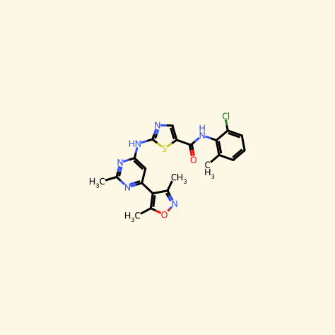 Cc1nc(Nc2ncc(C(=O)Nc3c(C)cccc3Cl)s2)cc(-c2c(C)noc2C)n1